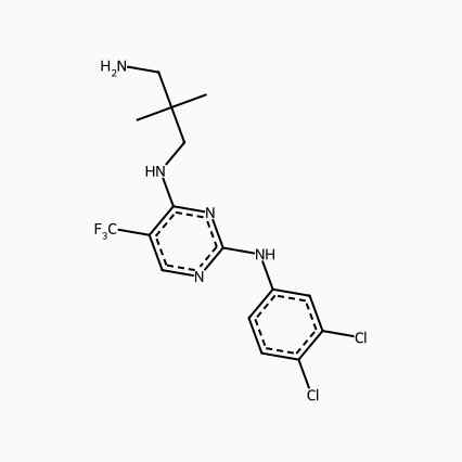 CC(C)(CN)CNc1nc(Nc2ccc(Cl)c(Cl)c2)ncc1C(F)(F)F